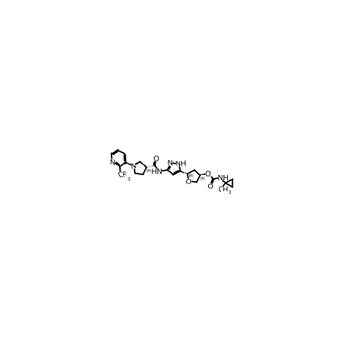 CC1(NC(=O)O[C@H]2CO[C@@H](c3cc(NC(=O)[C@@H]4CCN(c5cccnc5C(F)(F)F)C4)n[nH]3)C2)CC1